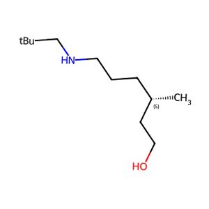 C[C@H](CCO)CCCNCC(C)(C)C